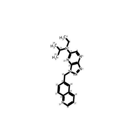 CCN(c1cnc2nnn(Cc3ccc4ncccc4c3)c2n1)C(C)C